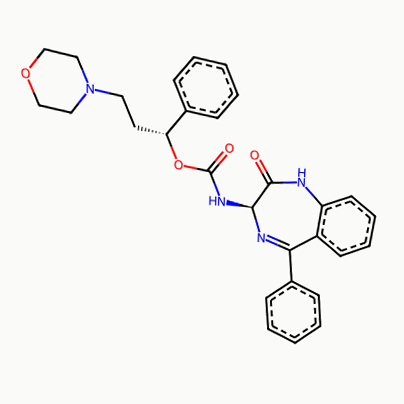 O=C(N[C@@H]1N=C(c2ccccc2)c2ccccc2NC1=O)O[C@H](CCN1CCOCC1)c1ccccc1